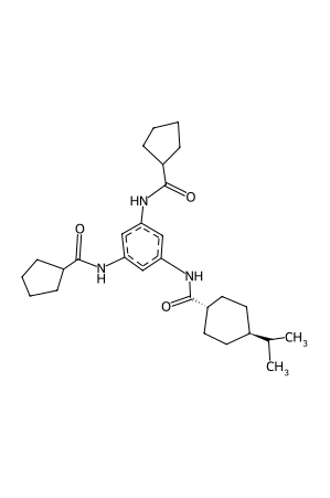 CC(C)[C@H]1CC[C@H](C(=O)Nc2cc(NC(=O)C3CCCC3)cc(NC(=O)C3CCCC3)c2)CC1